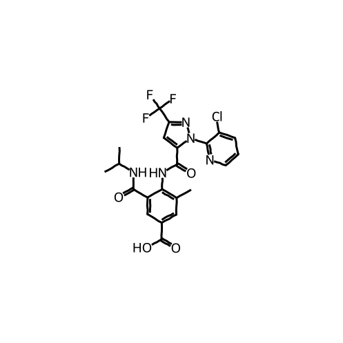 Cc1cc(C(=O)O)cc(C(=O)NC(C)C)c1NC(=O)c1cc(C(F)(F)F)nn1-c1ncccc1Cl